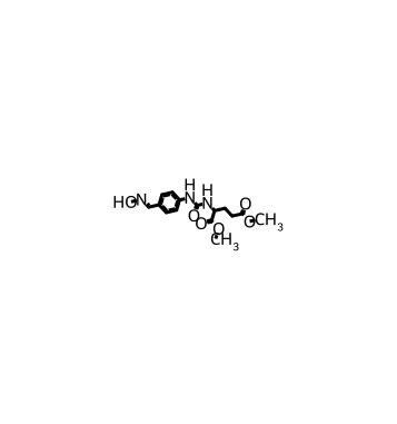 COC(=O)CCC(NC(=O)Nc1ccc(C=NO)cc1)C(=O)OC